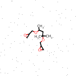 CC(CC(C)(C)OCC1CO1)OCC1CO1